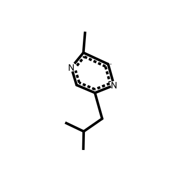 Cc1[c]nc(CC(C)C)cn1